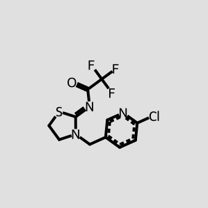 O=C(/N=C1\SCCN1Cc1ccc(Cl)nc1)C(F)(F)F